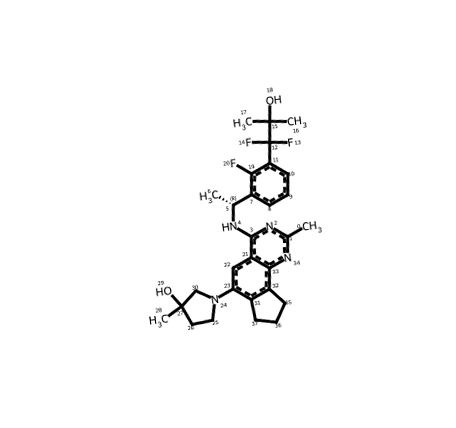 Cc1nc(N[C@H](C)c2cccc(C(F)(F)C(C)(C)O)c2F)c2cc(N3CCC(C)(O)C3)c3c(c2n1)CCC3